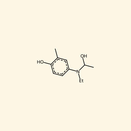 CCN(c1ccc(O)c(C)c1)C(C)O